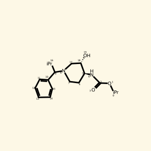 CC(C)OC(=O)N[C@H]1CCN(C(c2ccccc2)C(C)C)C[C@@H]1O